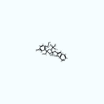 CCC(C)(CC(O)(Cc1cc2ccncc2[nH]1)CC(F)(F)F)c1cc(F)ccc1OC